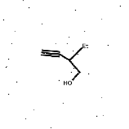 C#CC(CC)CO